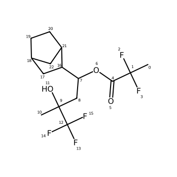 CC(F)(F)C(=O)OC(CC(C)(O)C(F)(F)F)C1CC2CCC1C2